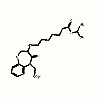 CC(N)OC(=O)CCCCCCNC1COc2ccccc2N(CC(=O)O)C1=O